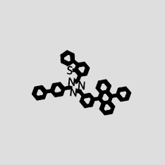 c1ccc(-c2ccc(-c3nc(-c4cccc(-c5c6ccccc6c(-c6ccccc6)c6ccccc56)c4)nc(-c4cccc5c4sc4ccccc45)n3)cc2)cc1